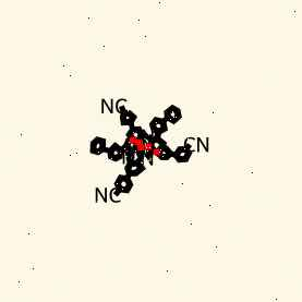 N#Cc1ccc(-c2ccc(-c3nc(-c4ccc(-c5cccc(C#N)c5)cc4)nc(-c4ccc(-c5ccc(C#N)cc5)cc4-n4c5ccccc5c5cc(-c6ccccc6)ccc54)n3)c(-n3c4ccccc4c4cc(-c5ccccc5)ccc43)c2)cc1